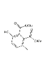 COC(=O)c1c(C)ccc(O)c1C(=O)OC